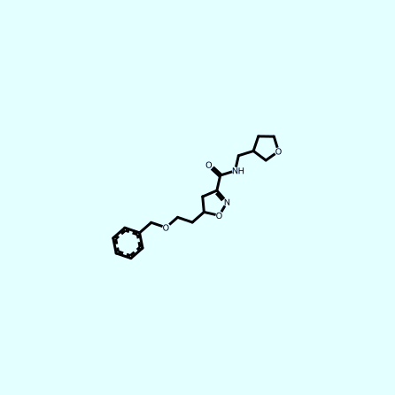 O=C(NCC1CCOC1)C1=NOC(CCOCc2ccccc2)C1